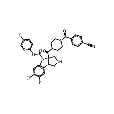 CCN(C(=O)Oc1ccc(F)cc1)[C@]1(C(=O)C2CCN(C(=O)c3ccc(C#N)cc3)CC2)CNC[C@H]1c1ccc(Cl)c(F)c1